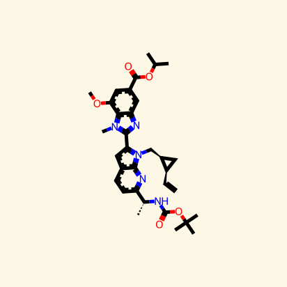 C=C[C@@H]1C[C@@H]1Cn1c(-c2nc3cc(C(=O)OC(C)C)cc(OC)c3n2C)cc2ccc([C@@H](C)NC(=O)OC(C)(C)C)nc21